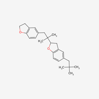 CC(C)(C)Cc1ccc2c(c1)CC(C(C)(C)Cc1ccc3c(c1)CCO3)O2